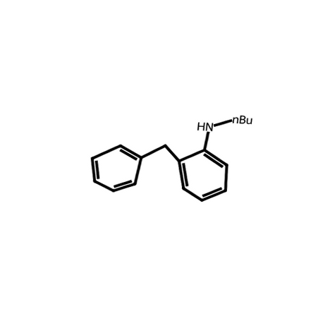 CCCCNc1ccccc1Cc1ccccc1